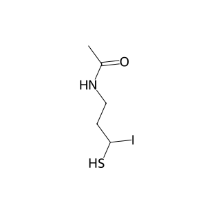 CC(=O)NCCC(S)I